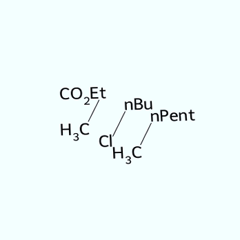 CCCCCC.CCCCCl.CCOC(C)=O